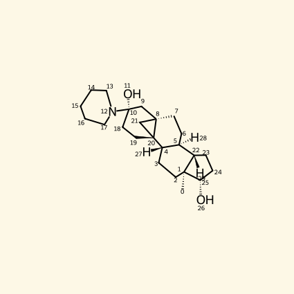 C[C@]12CC[C@H]3[C@@H](CC[C@]45C[C@](O)(N6CCCCC6)CC[C@]34C5)[C@@H]1CC[C@@H]2O